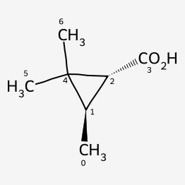 C[C@@H]1[C@@H](C(=O)O)C1(C)C